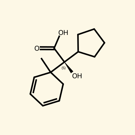 CC1([C@](O)(C(=O)O)C2CCCC2)C=CC=CC1